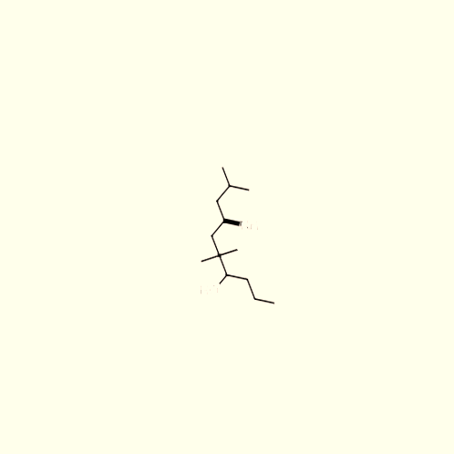 CCCC(O)C(C)(C)CC(=N)CC(C)C